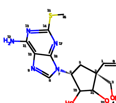 C=C[C@]1(CO)C[C@@H](n2cnc3c(N)nc(SC)nc32)C(O)C1O